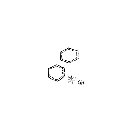 Cl.Cl.[SiH4].c1ccccc1.c1ccccc1